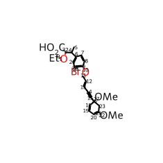 CCOC(C(=O)O)C(C)c1ccc(OC/C=C/C#CC2(OC)C=CC=C(OC)C2)c(Br)c1